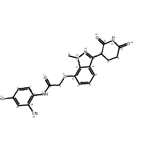 COc1ccc(NC(=O)COc2cccc3c(C4CCC(=O)NC4=O)nn(C)c23)c(C#N)c1